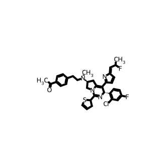 CC(=O)c1ccc(CCN(C)[C@H]2CC3=C(C4=N/C(=C/C(C)F)C=C4)[C@H](c4ccc(F)cc4Cl)N=C(C4CC=CS4)N3C2)cc1